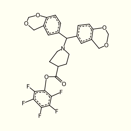 O=C(Oc1c(F)c(F)c(F)c(F)c1F)C1CCN(C(c2ccc3c(c2)COCO3)c2ccc3c(c2)COCO3)CC1